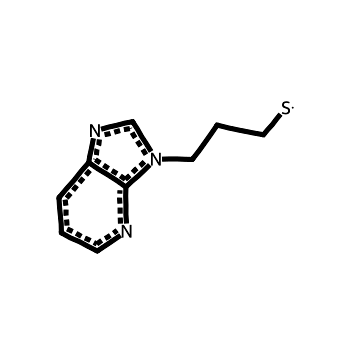 [S]CCCn1cnc2cccnc21